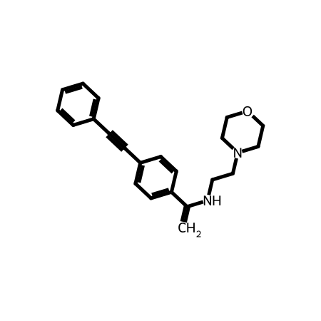 C=C(NCCN1CCOCC1)c1ccc(C#Cc2ccccc2)cc1